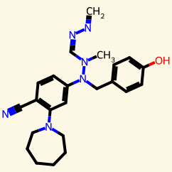 C=N/N=C\N(C)N(Cc1ccc(O)cc1)c1ccc(C#N)c(N2CCCCCC2)c1